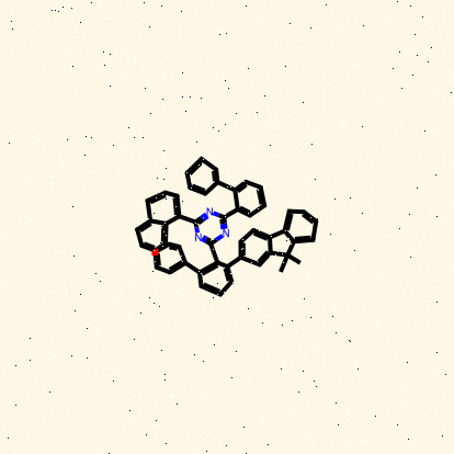 CC1(C)c2ccccc2-c2ccc(-c3cccc(-c4ccccc4)c3-c3nc(-c4ccccc4-c4ccccc4)nc(-c4cccc5ccccc45)n3)cc21